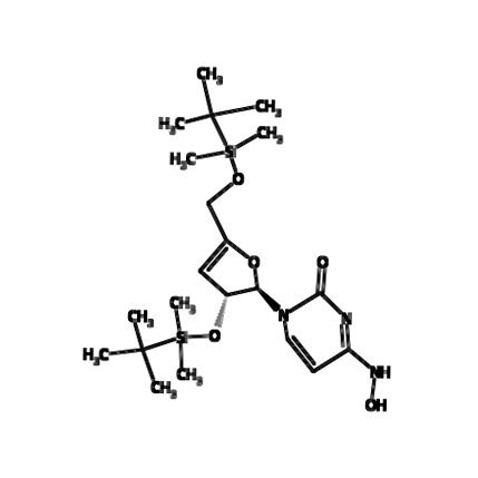 CC(C)(C)[Si](C)(C)OCC1=C[C@@H](O[Si](C)(C)C(C)(C)C)[C@H](n2ccc(NO)nc2=O)O1